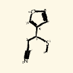 CSC(CC#N)c1ccoc1